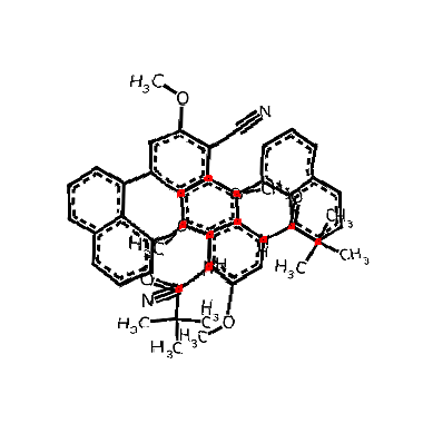 COc1cc(-c2cccc3cccc(-c4ccc(-c5cccc6cccc(-c7cc(OC)c(C#N)c(OC)c7)c56)c(NC(=O)C(C)(C)C)c4NC(=O)C(C)(C)C)c23)cc(OC)c1C#N